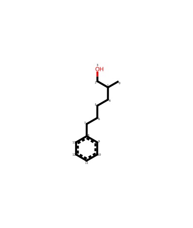 CC(CO)CCCCc1ccccc1